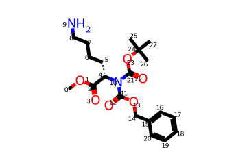 COC(=O)[C@H](CCCCN)N(C(=O)OCc1ccccc1)C(=O)OC(C)(C)C